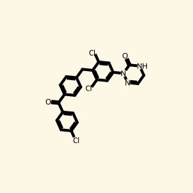 O=C(c1ccc(Cl)cc1)c1ccc(Cc2c(Cl)cc(N3N=CCNC3=O)cc2Cl)cc1